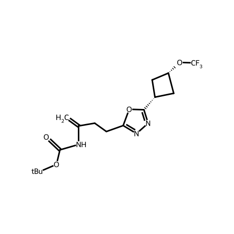 C=C(CCc1nnc([C@H]2C[C@@H](OC(F)(F)F)C2)o1)NC(=O)OC(C)(C)C